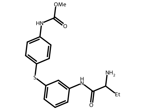 CCC(N)C(=O)Nc1cccc(Sc2ccc(NC(=O)OC)cc2)c1